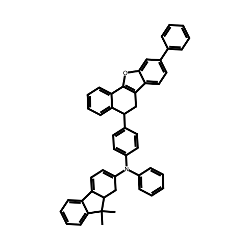 CC1(C)c2ccccc2C2=CC=C(N(c3ccccc3)c3ccc(C4Cc5c(oc6cc(-c7ccccc7)ccc56)-c5ccccc54)cc3)CC21